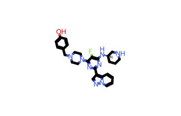 Oc1ccc(CN2CCN(c3nc(-c4cnn5ccccc45)nc(N[C@@H]4CCCNC4)c3F)CC2)cc1